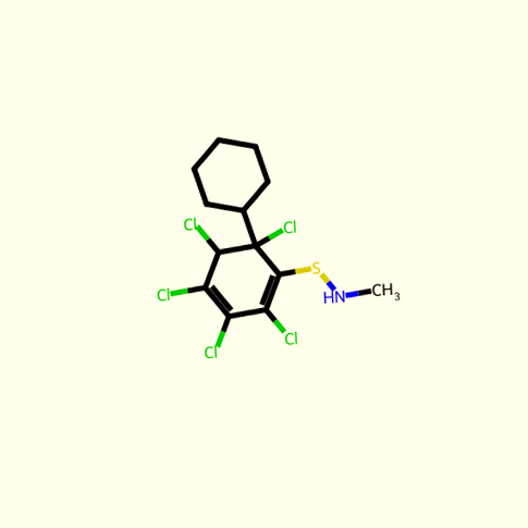 CNSC1=C(Cl)C(Cl)=C(Cl)C(Cl)C1(Cl)C1CCCCC1